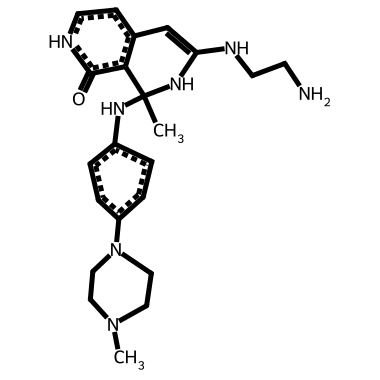 CN1CCN(c2ccc(NC3(C)NC(NCCN)=Cc4cc[nH]c(=O)c43)cc2)CC1